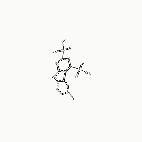 CS(=O)(=O)c1nc(S(C)(=O)=O)c2c(n1)[nH]c1[c]cc(F)cc12